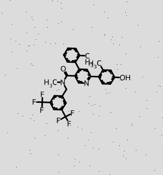 Cc1cc(O)ccc1-c1cc(-c2ccccc2C)c(C(=O)N(C)Cc2cc(C(F)(F)F)cc(C(F)(F)F)c2)cn1